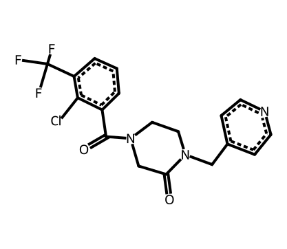 O=C1CN(C(=O)c2cccc(C(F)(F)F)c2Cl)CCN1Cc1ccncc1